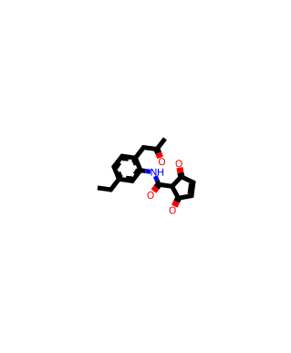 CCc1ccc(CC(C)=O)c(NC(=O)C2C(=O)C=CC2=O)c1